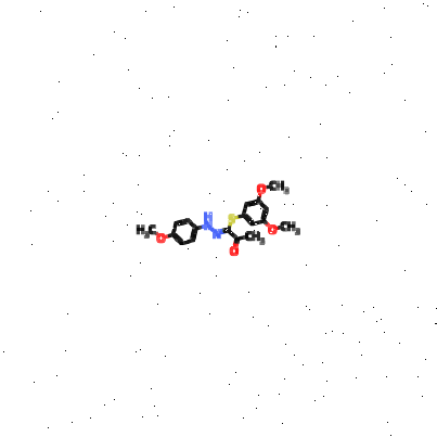 COc1ccc(NN=C(Sc2cc(OC)cc(OC)c2)C(C)=O)cc1